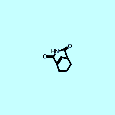 O=C1NC(=O)C2C=C1CCC2